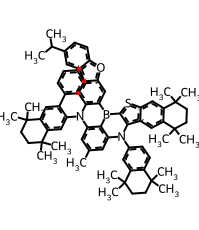 Cc1cc2c3c(c1)N(c1ccc4c(c1)C(C)(C)CCC4(C)C)c1c(sc4cc5c(cc14)C(C)(C)CCC5(C)C)B3c1cc3oc4ccc(C(C)C)cc4c3cc1N2c1cc2c(cc1-c1ccccc1)C(C)(C)CCC2(C)C